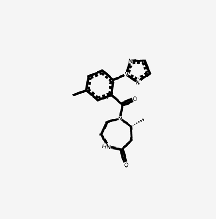 Cc1ccc(-n2nccn2)c(C(=O)N2CCNC(=O)C[C@H]2C)c1